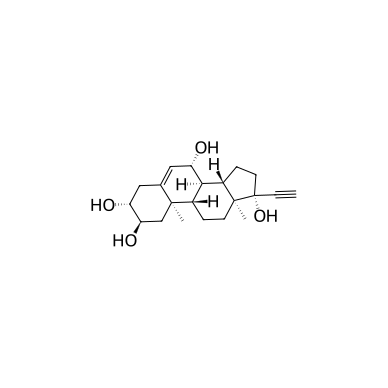 C#C[C@]1(O)CC[C@H]2[C@@H]3[C@@H](O)C=C4C[C@@H](O)[C@H](O)C[C@]4(C)[C@H]3CC[C@@]21C